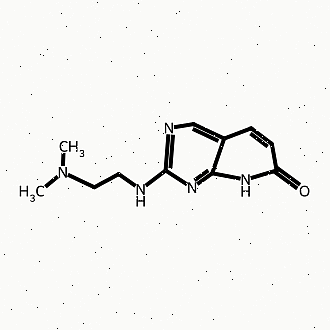 CN(C)CCNc1ncc2ccc(=O)[nH]c2n1